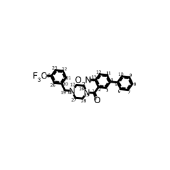 O=C(c1cc(-c2ccccc2)ccc1[N+](=O)[O-])N1CCN(Cc2cccc(C(F)(F)F)c2)CC1